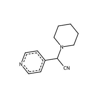 N#CC(c1ccncc1)N1CCCCC1